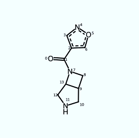 O=C(c1cnoc1)N1CC2CNCC21